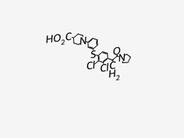 C=C(C(=O)N1CCCC1)c1ccc(Sc2cccc(N3CCC(C(=O)O)CC3)c2)c(Cl)c1Cl